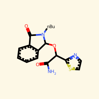 CCCCN1C(=O)c2ccccc2C1OC(C(N)=O)c1nccs1